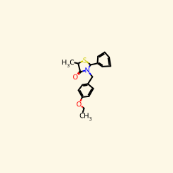 CCOc1ccc(CN2C(=O)C(C)SC2c2ccccc2)cc1